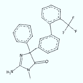 CN1C(=O)C(c2ccccc2)(c2cccc(-c3ccccc3C(F)(F)F)c2)N=C1N